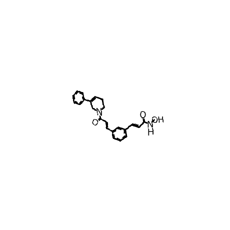 O=C(C=Cc1cccc(C=CC(=O)N2CCC=C(c3ccccc3)C2)c1)NO